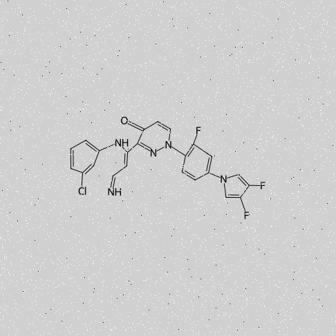 N=C/C=C(\Nc1cccc(Cl)c1)c1nn(-c2ccc(-n3cc(F)c(F)c3)cc2F)ccc1=O